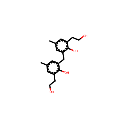 Cc1cc(CCO)c(O)c(Cc2cc(C)cc(CCO)c2O)c1